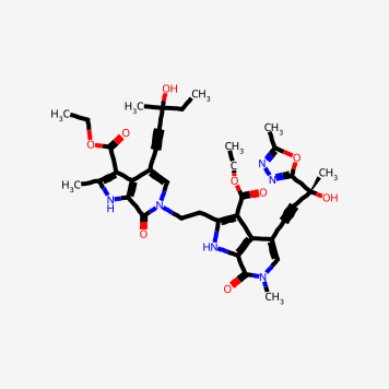 CCOC(=O)c1c(CCn2cc(C#CC(C)(O)CC)c3c(C(=O)OCC)c(C)[nH]c3c2=O)[nH]c2c(=O)n(C)cc(C#C[C@@](C)(O)c3nnc(C)o3)c12